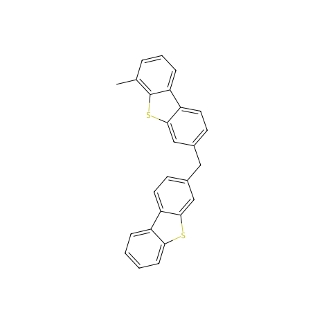 Cc1cccc2c1sc1cc(Cc3ccc4c(c3)sc3ccccc34)ccc12